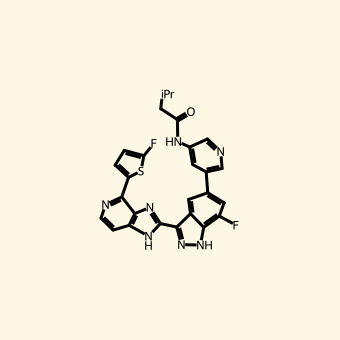 CC(C)CC(=O)Nc1cncc(-c2cc(F)c3[nH]nc(-c4nc5c(-c6ccc(F)s6)nccc5[nH]4)c3c2)c1